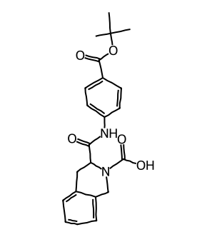 CC(C)(C)OC(=O)c1ccc(NC(=O)C2Cc3ccccc3CN2C(=O)O)cc1